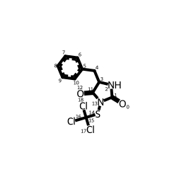 O=C1NC(Cc2ccccc2)C(=O)N1SC(Cl)(Cl)Cl